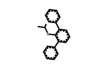 CC(C)Oc1c(-c2ccccc2)cccc1-c1ccccc1